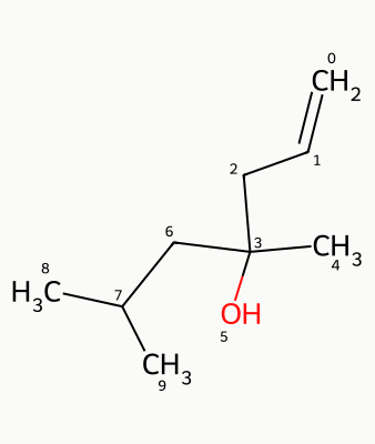 C=CCC(C)(O)CC(C)C